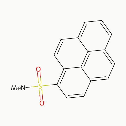 CNS(=O)(=O)c1ccc2ccc3cccc4ccc1c2c34